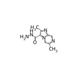 Cc1cn2c(C(=O)NN)c(C)nc2cn1